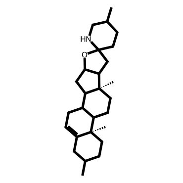 CC1CCC2(CC3C(CC4C5CC=C6CC(C)CC[C@]6(C)C5CC[C@]34C)O2)NC1